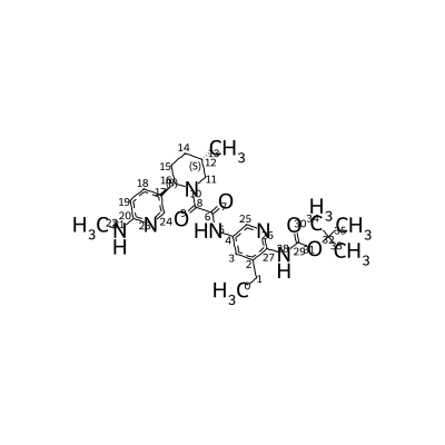 CCc1cc(NC(=O)C(=O)N2C[C@@H](C)CC[C@@H]2c2ccc(NC)nc2)cnc1NC(=O)OC(C)(C)C